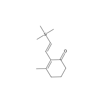 CC1=C(C=C[Si](C)(C)C)C(=O)CCC1